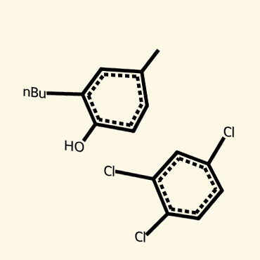 CCCCc1cc(C)ccc1O.Clc1ccc(Cl)c(Cl)c1